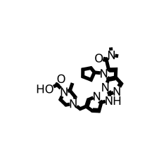 CC1CN(Cc2ccc(Nc3ncc4cc(C(=O)N(C)C)n(C5CCCC5)c4n3)nc2)CCN1C(=O)O